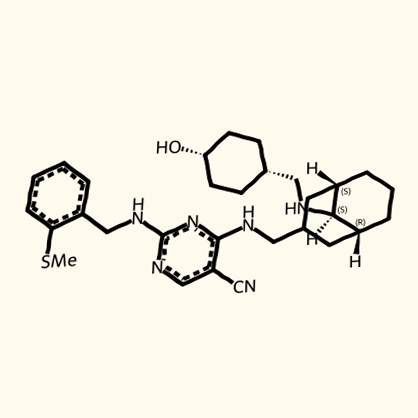 CSc1ccccc1CNc1ncc(C#N)c(NCC2C[C@H]3CCC[C@@H](C2)[C@@H]3NC[C@H]2CC[C@@H](O)CC2)n1